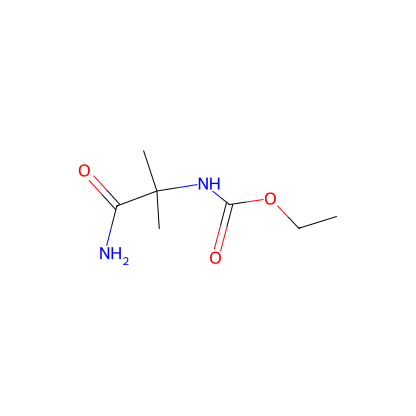 CCOC(=O)NC(C)(C)C(N)=O